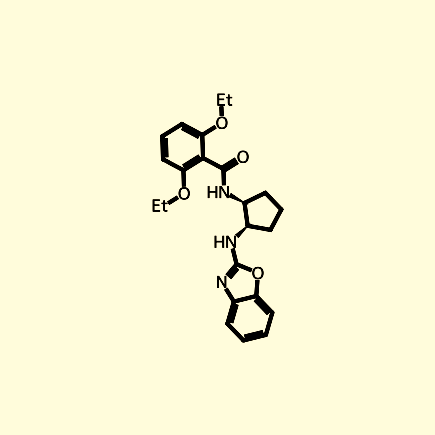 CCOc1cccc(OCC)c1C(=O)N[C@H]1CCC[C@H]1Nc1nc2ccccc2o1